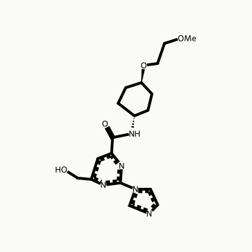 COCCO[C@H]1CC[C@H](NC(=O)c2cc(CO)nc(-n3ccnc3)n2)CC1